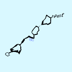 CCCCC[C@H]1CC[C@H](C2CCC(/C=C/C#Cc3ccc(Cl)cc3)CC2)CC1